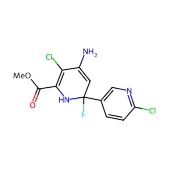 COC(=O)C1=C(Cl)C(N)=CC(F)(c2ccc(Cl)nc2)N1